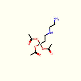 CC(=O)O[Si](CCNCCN)(OC(C)=O)OC(C)=O